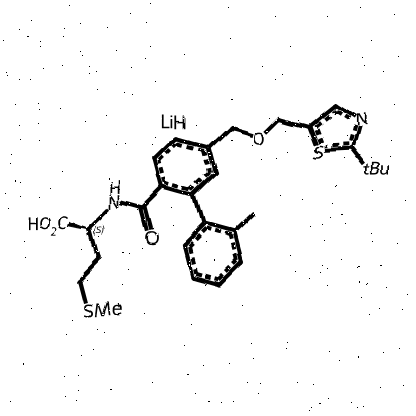 CSCC[C@H](NC(=O)c1ccc(COCc2cnc(C(C)(C)C)s2)cc1-c1ccccc1C)C(=O)O.[LiH]